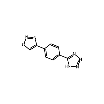 c1cc(-c2nnn[nH]2)ccc1-c1conn1